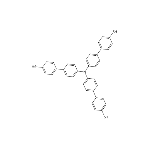 Sc1ccc(-c2ccc(N(c3ccc(-c4ccc(S)cc4)cc3)c3ccc(-c4ccc(S)cc4)cc3)cc2)cc1